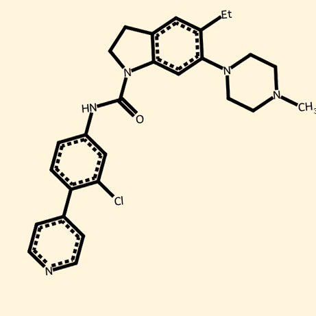 CCc1cc2c(cc1N1CCN(C)CC1)N(C(=O)Nc1ccc(-c3ccncc3)c(Cl)c1)CC2